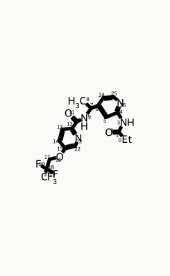 CCC(=O)Nc1cc(C(C)NC(=O)c2ccc(OCC(F)(F)C(F)(F)F)cn2)ccn1